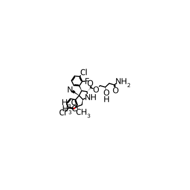 CC(C)(C)C[C@@H]1N[C@@H](C(=O)OC[C@@H](O)CC(N)=O)[C@H](c2cccc(Cl)c2F)[C@@]1(C#N)c1ccc(Cl)cc1